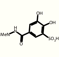 CNNC(=O)c1cc(O)c(O)c(S(=O)(=O)O)c1